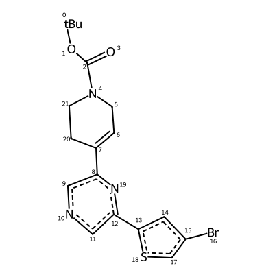 CC(C)(C)OC(=O)N1CC=C(c2cncc(-c3cc(Br)cs3)n2)CC1